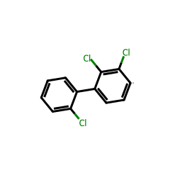 Clc1[c]ccc(-c2ccccc2Cl)c1Cl